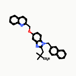 CC(C)(Cc1nc2cc(OCc3ccc4ccccc4n3)ccc2n1Cc1ccc2ccccc2c1)C(=O)O